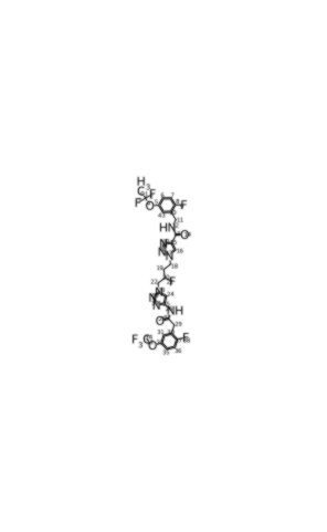 CC(F)(F)Oc1ccc(F)c(CNC(=O)c2cn(CCC(F)Cn3cc(NC(=O)Cc4cc(OC(F)(F)F)ccc4F)nn3)nn2)c1